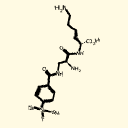 CC(C)(C)[Si](F)(c1ccc(C(=O)NC[C@H](N)C(=O)N[C@H](CCCCN)C(=O)O)cc1)C(C)(C)C